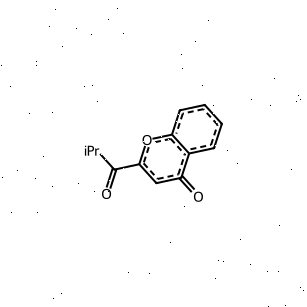 CC(C)C(=O)c1cc(=O)c2ccccc2o1